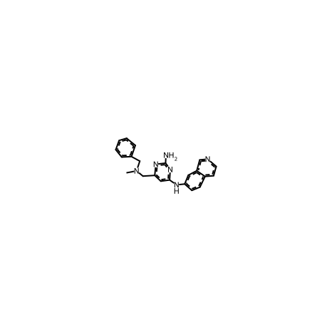 CN(Cc1ccccc1)Cc1cc(Nc2ccc3ccncc3c2)nc(N)n1